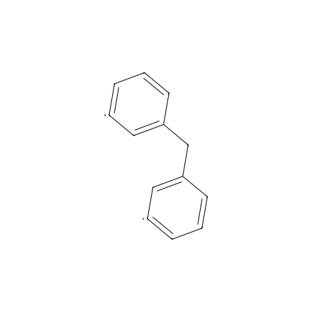 [c]1cccc(Cc2c[c]ccc2)c1